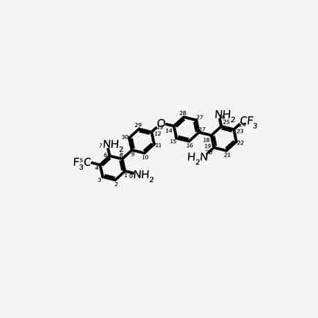 Nc1ccc(C(F)(F)F)c(N)c1-c1ccc(Oc2ccc(-c3c(N)ccc(C(F)(F)F)c3N)cc2)cc1